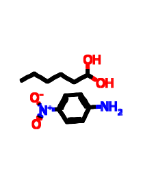 CCCCCC(O)O.Nc1ccc([N+](=O)[O-])cc1